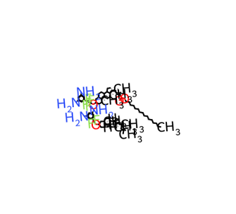 CCCCCCCCCCCCCCCCOC(=O)CC[C@@H](C)[C@H]1CCC2C3CCC4CC(OC(F)(F)C(F)(F)c5cc(N)cc(N)c5)CC[C@]4(C)C3CC[C@@]21C.CCC[C@@H](C)[C@H]1CC[C@H]2[C@@H]3CCC4CC(OC(F)(F)c5cc(N)cc(N)c5)CC[C@]4(C)[C@H]3CC[C@]12C